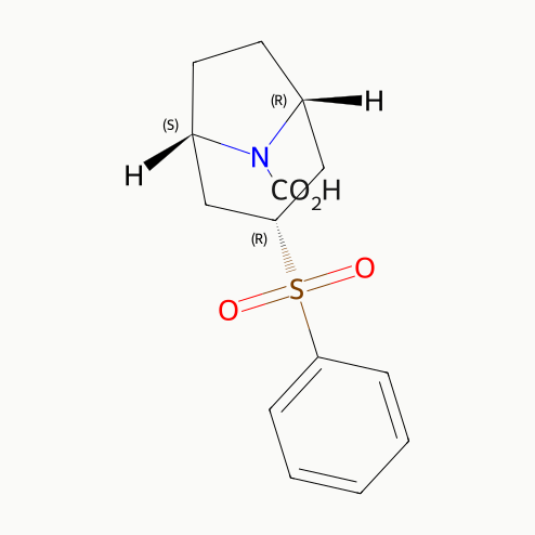 O=C(O)N1[C@@H]2CC[C@H]1C[C@@H](S(=O)(=O)c1ccccc1)C2